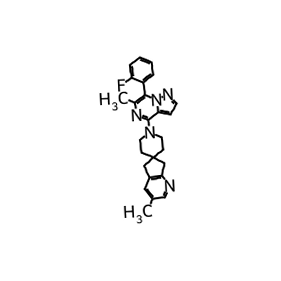 Cc1cnc2c(c1)CC1(CCN(c3nc(C)c(-c4ccccc4F)n4nccc34)CC1)C2